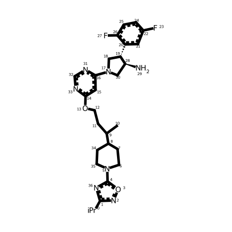 CC(C)c1noc(N2CCC(C(C)CCOc3cc(N4C[C@H](c5cc(F)ccc5F)[C@@H](N)C4)ncn3)CC2)n1